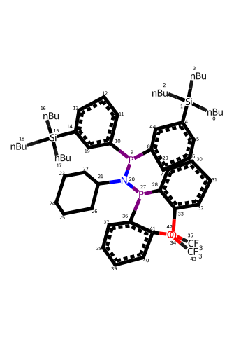 CCCC[Si](CCCC)(CCCC)c1cccc(P(c2cccc([Si](CCCC)(CCCC)CCCC)c2)N(C2CCCCC2)P(c2ccccc2OC(F)(F)F)c2ccccc2OC(F)(F)F)c1